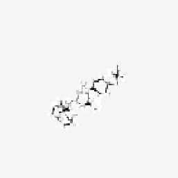 C/C(N)=N/C(=N\S(=O)(=O)c1ccc(OC(F)(F)F)cc1)NC12CC3CC(CC(C3)C1)C2